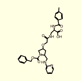 Cc1ccc(C(=O)NC(CNC(=O)COC2CC(CNc3ccccn3)N(C(=O)OCc3ccccc3)C2)C(=O)O)cc1